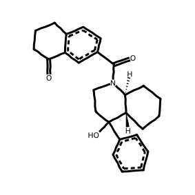 O=C1CCCc2ccc(C(=O)N3CCC(O)(c4ccccc4)[C@H]4CCCC[C@@H]43)cc21